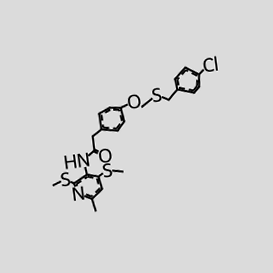 CSc1cc(C)nc(SC)c1NC(=O)Cc1ccc(OCSCc2ccc(Cl)cc2)cc1